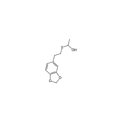 CC(O)SCCc1ccc2c(c1)OCO2